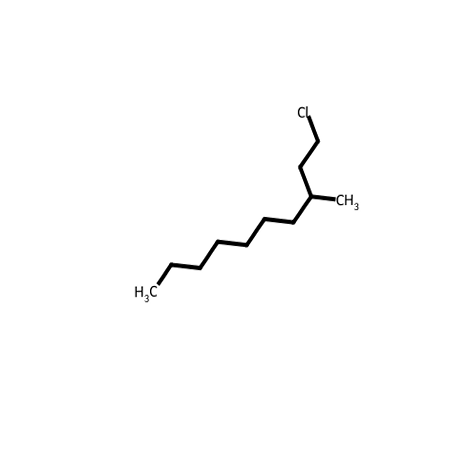 CCCCCCCC(C)CCCl